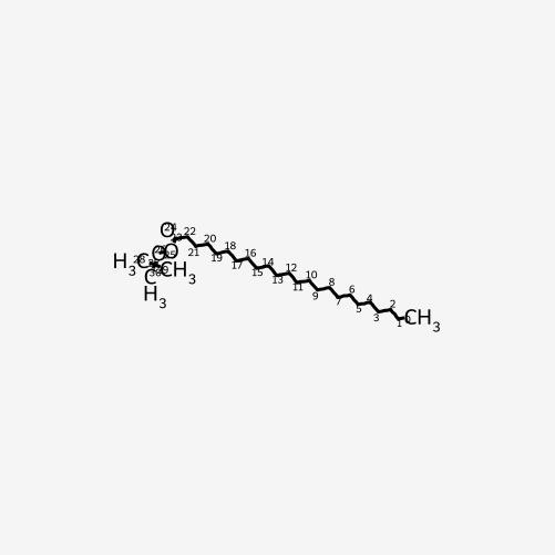 CCCCCCCCCCCCCCCCCCCCCCCC(=O)OOC(C)(C)C